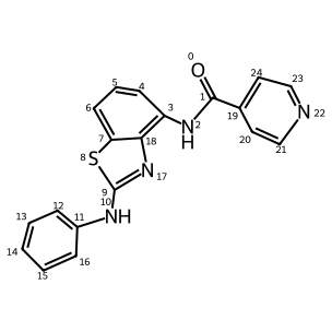 O=C(Nc1cccc2sc(Nc3ccccc3)nc12)c1ccncc1